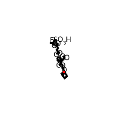 CC(OC(=O)CCC(=O)OC1C2CC3C1OC(=O)C3C2C(=O)OCOC1CC2CCC1C2)C(F)(F)S(=O)(=O)O